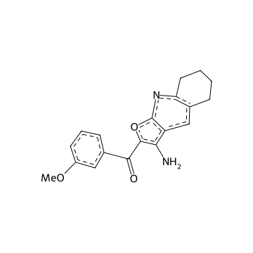 COc1cccc(C(=O)c2oc3nc4c(cc3c2N)CCCC4)c1